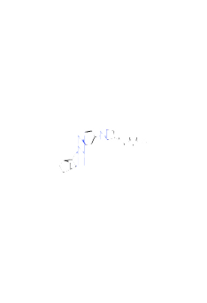 CNC1CCN(c2ccnc(NCC3CC4CCC3C4)c2)C1